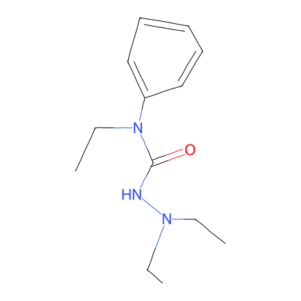 CCN(CC)NC(=O)N(CC)c1ccccc1